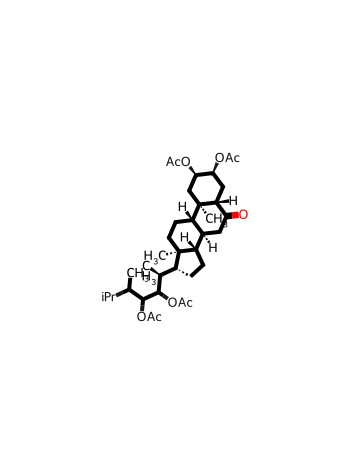 CC(=O)OC(C(C)C(C)C)C(OC(C)=O)[C@@H](C)[C@H]1CC[C@H]2[C@@H]3CC(=O)[C@H]4C[C@H](OC(C)=O)[C@H](OC(C)=O)C[C@]4(C)[C@H]3CC[C@]12C